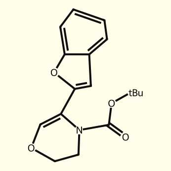 CC(C)(C)OC(=O)N1CCOC=C1c1cc2ccccc2o1